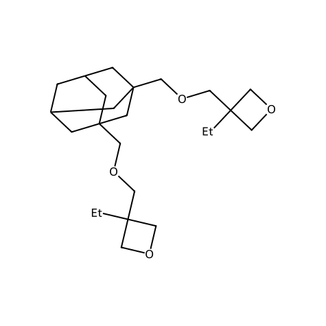 CCC1(COCC23CC4CC(C2)CC(COCC2(CC)COC2)(C4)C3)COC1